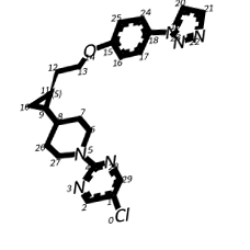 Clc1cnc(N2CCC(C3C[C@H]3CCOc3ccc(-n4ccnn4)cc3)CC2)nc1